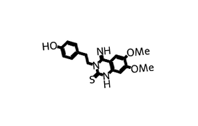 COc1cc2[nH]c(=S)n(CCc3ccc(O)cc3)c(=N)c2cc1OC